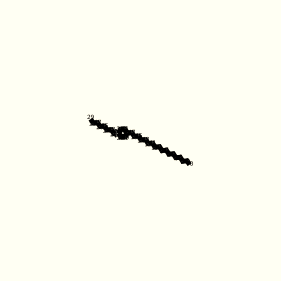 CCCCCCCCCCCCCCCCCCc1cc[n+](CCCCCCCC)cc1